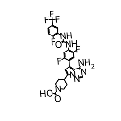 Nc1ncnn2c(C3CCN(C(=O)O)CC3)cc(-c3cc(F)c(NC(=O)Nc4cc(C(F)(F)F)ccc4F)cc3F)c12